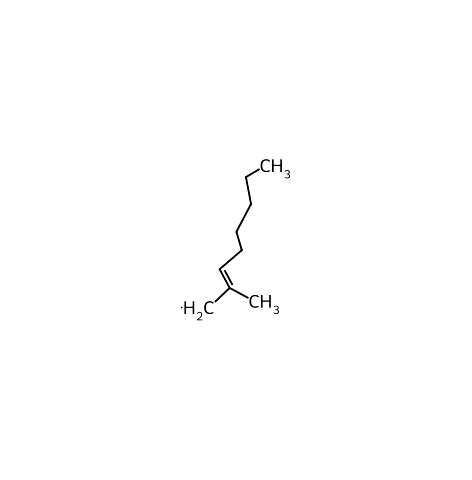 [CH2]/C(C)=C/CCCCC